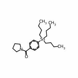 CCC[CH2][Sn]([CH2]CCC)([CH2]CCC)[c]1ccc(C(=O)N2CCCC2)cc1